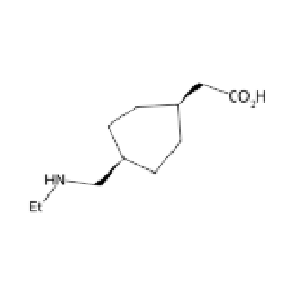 CCNC[C@H]1CC[C@@H](CC(=O)O)CC1